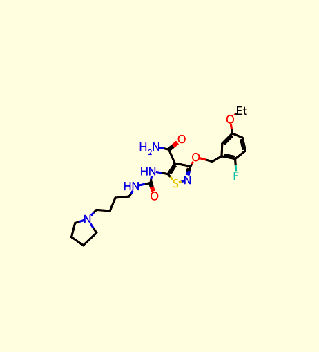 CCOc1ccc(F)c(COc2nsc(NC(=O)NCCCCN3CCCC3)c2C(N)=O)c1